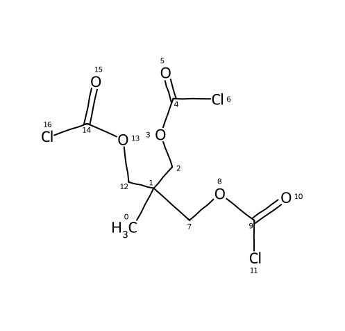 CC(COC(=O)Cl)(COC(=O)Cl)COC(=O)Cl